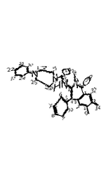 Cc1cc2c(-c3ccccc3)c(NC(=O)N3CCN(c4ccccc4)CC3)n(C)c(=O)c2cc1C